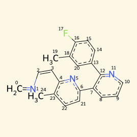 C=N/C=C\c1nc(-c2cccnc2-c2ccc(F)c(C)c2)ccc1C